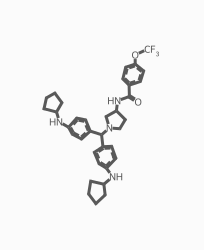 O=C(NC1CCN(C(c2ccc(NC3CCCC3)cc2)c2ccc(NC3CCCC3)cc2)C1)c1ccc(OC(F)(F)F)cc1